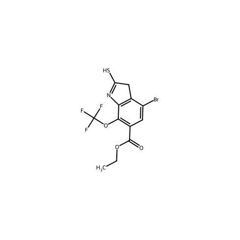 CCOC(=O)c1cc(Br)c2c(c1OC(F)(F)F)N=C(S)C2